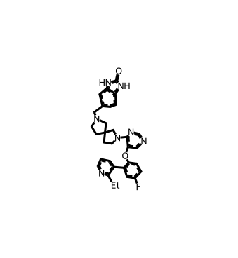 CCc1ncccc1-c1cc(F)ccc1Oc1cncnc1N1CCC2(CCN(Cc3ccc4[nH]c(=O)[nH]c4c3)C2)C1